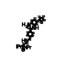 CC(C)P(=O)(CCNCc1ccc(C(=O)Nc2cc(-c3cccs3)ccc2N)cc1)C(C)C